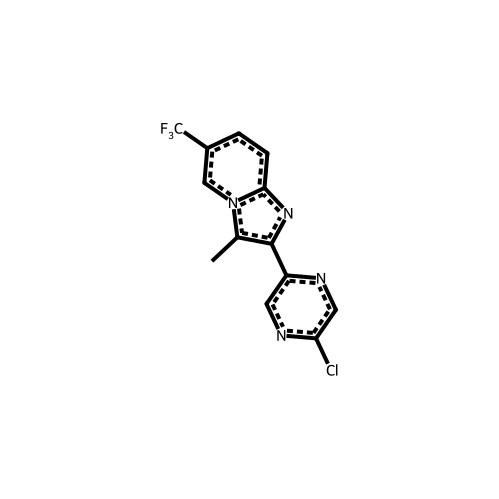 Cc1c(-c2cnc(Cl)cn2)nc2ccc(C(F)(F)F)cn12